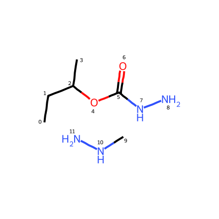 CCC(C)OC(=O)NN.CNN